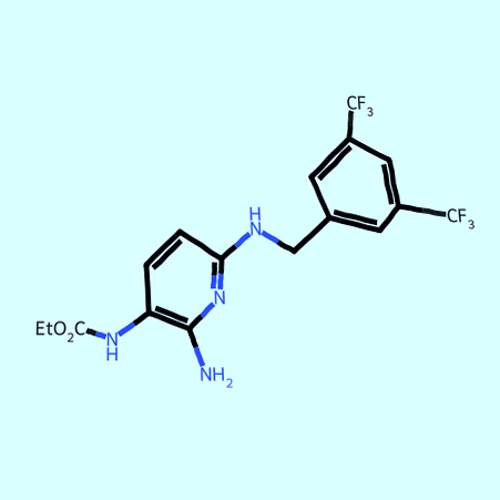 CCOC(=O)Nc1ccc(NCc2cc(C(F)(F)F)cc(C(F)(F)F)c2)nc1N